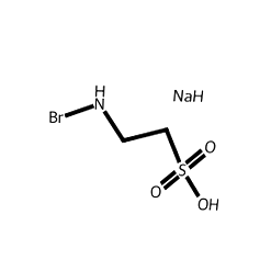 O=S(=O)(O)CCNBr.[NaH]